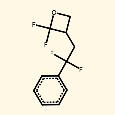 FC(F)(CC1COC1(F)F)c1ccccc1